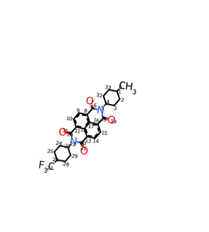 CC1CCC(N2C(=O)c3ccc4c5c(ccc(c35)C2=O)C(=O)N(C2CCC(C(F)(F)F)CC2)C4=O)CC1